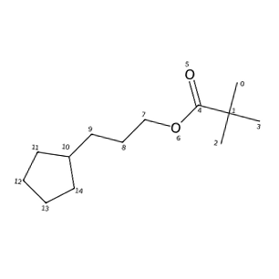 CC(C)(C)C(=O)OCCCC1CCCC1